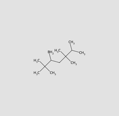 BC(CC(C)(C)C(C)C)C(C)(C)C